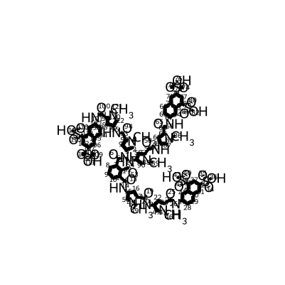 Cn1cc(NC(=O)c2cccc(C(=O)Nc3cc(C(=O)Nc4cc(C(=O)Nc5ccc6cc(S(=O)(=O)O)cc(S(=O)(=O)O)c6c5)n(C)c4)n(C)c3)c2C(=O)Nc2cc(C(=O)Nc3cc(C(=O)Nc4ccc5cc(S(=O)(=O)O)cc(S(=O)(=O)O)c5c4)n(C)c3)n(C)c2)cc1C(=O)Nc1cc(C(=O)Nc2ccc3cc(S(=O)(=O)O)cc(S(=O)(=O)O)c3c2)n(C)c1